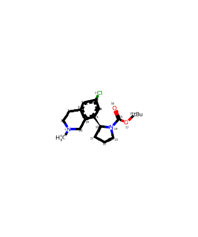 CN1CCc2cc(Cl)cc([C@@H]3CCCN3C(=O)OC(C)(C)C)c2C1